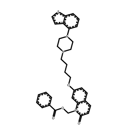 O=C(OCn1c(=O)ccc2ccc(OCCCCN3CCN(c4cccc5sccc45)CC3)cc21)c1ccccc1